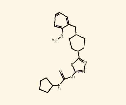 COc1ccccc1CN1CCN(c2nnc(NC(=O)NC3CCCC3)s2)CC1